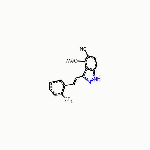 COc1c(C#N)ccc2[nH]nc(C=Cc3ccccc3C(F)(F)F)c12